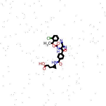 CC(OC(=O)Nc1c(C#N)noc1-c1ccc(C(=O)NC2CC2CCC(=O)O)cc1)c1ccccc1Cl